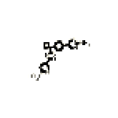 Nc1ncc(-c2ccc(C3(c4noc(-c5ccc(C(=O)O)nc5)n4)CCC3)cc2)cn1